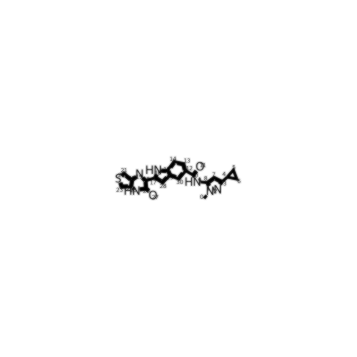 Cn1nc(C2CC2)cc1NC(=O)c1ccc2[nH]c(-c3nc4cscc4[nH]c3=O)cc2c1